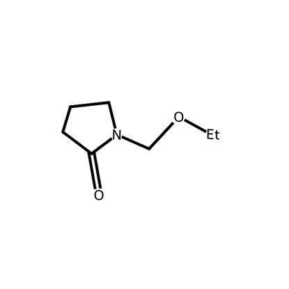 CCOCN1CCCC1=O